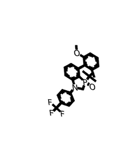 COc1cccc(C)c1-c1cccc2c1P(=O)(C(C)(C)C)CN2c1ccc(C(F)(F)F)cc1